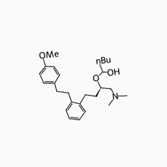 CCCCC(O)O[C@H](CCc1ccccc1CCc1ccc(OC)cc1)CN(C)C